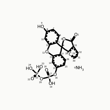 N.O=C1OC2(c3ccc(O)cc3Oc3cc(OP(=O)(O)OP(=O)(O)O)ccc32)c2ccccc21